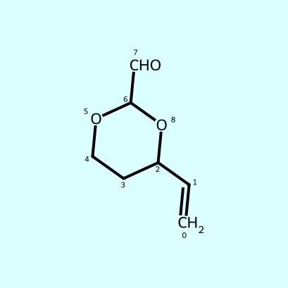 C=CC1CCOC(C=O)O1